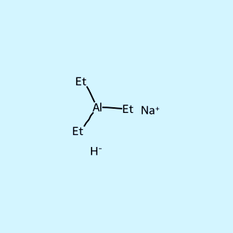 C[CH2][Al]([CH2]C)[CH2]C.[H-].[Na+]